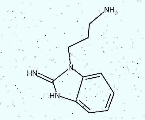 N=c1[nH]c2ccccc2n1CCCN